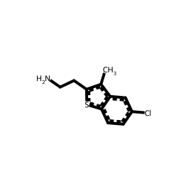 Cc1c(CCN)sc2ccc(Cl)cc12